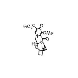 COc1c2n(cc(C(=O)O)c1=O)C[C@H]1OC3CCC34C[C@H]4N1C2=O